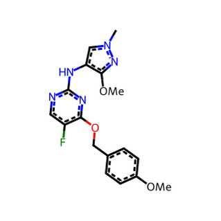 COc1ccc(COc2nc(Nc3cn(C)nc3OC)ncc2F)cc1